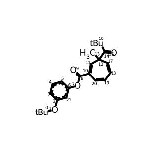 CC(C)(C)Oc1cccc(OC(=O)C2=CC(C)(C(=O)C(C)(C)C)C=CC=C2)c1